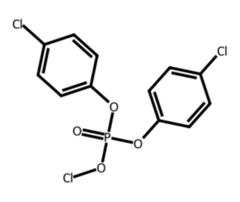 O=P(OCl)(Oc1ccc(Cl)cc1)Oc1ccc(Cl)cc1